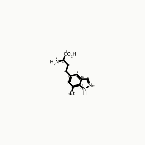 CCc1cc(CCC(N)C(=O)O)cc2cn[nH]c12